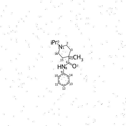 CC(C)N1CCC(C)(C(=O)Nc2ccccc2)CC1